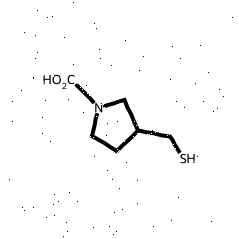 O=C(O)N1CCC(CS)C1